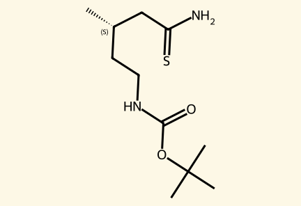 C[C@@H](CCNC(=O)OC(C)(C)C)CC(N)=S